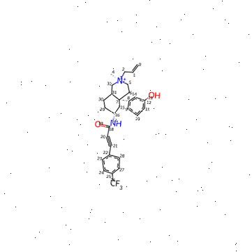 C=CC[N@@+]1(C)CC[C@@]2(c3cccc(O)c3)C[C@H](NC(=O)C#Cc3ccc(C(F)(F)F)cc3)CCC2C1